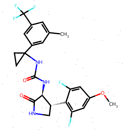 COc1cc(F)c([C@@H]2CNC(=O)[C@H]2NC(=O)NC2(c3cc(C)cc(C(F)(F)F)c3)CC2)c(F)c1